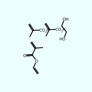 C=C(C)C(=O)O.C=C(C)C(=O)O.C=COC(=O)C(=C)C.OCCO